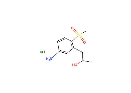 CC(O)Cc1cc(N)ccc1S(C)(=O)=O.Cl